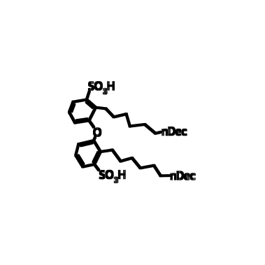 CCCCCCCCCCCCCCCCc1c(Oc2cccc(S(=O)(=O)O)c2CCCCCCCCCCCCCCCC)cccc1S(=O)(=O)O